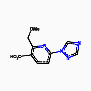 COCc1nc(-n2cncn2)ccc1C(=O)O